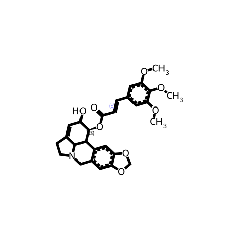 COc1cc(/C=C/C(=O)O[C@@H]2C(O)C=C3CCN4Cc5cc6c(cc5C2C34)OCO6)cc(OC)c1OC